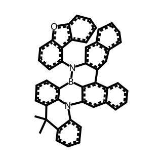 CC1(C)c2ccccc2N2c3cc4ccccc4c4c3B(c3cccc1c32)N(c1cccc2oc3ccccc3c12)c1cc2ccccc2cc1-4